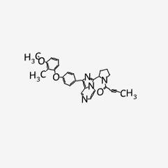 CC#CC(=O)N1CCCC1c1nc(-c2ccc(Oc3cccc(OC)c3C)cc2)c2cnccn12